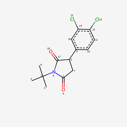 CC(C)(C)N1C(=O)CC(c2ccc(Cl)c(Cl)c2)C1=O